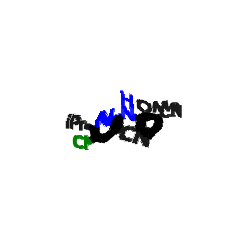 COc1c(C#N)cccc1Nc1nc(C(C)C)c(Cl)cc1C#N